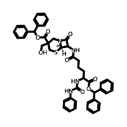 O=C(CCCC(NC(=O)Nc1ccccc1)C(=O)OC(c1ccccc1)c1ccccc1)NC1C(=O)N2CC(CO)(C(=O)OC(c3ccccc3)c3ccccc3)CS[C@H]12